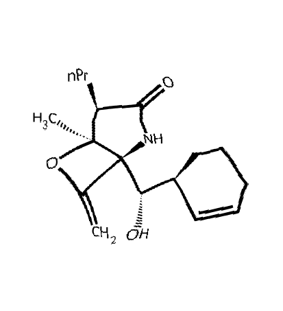 C=C1O[C@@]2(C)[C@@H](CCC)C(=O)N[C@@]12[C@@H](O)[C@@H]1C=CCCC1